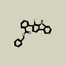 Cn1c2ccccc2c2ccc(-c3ccccc3C(=O)OCc3ccccc3)c(I)c21